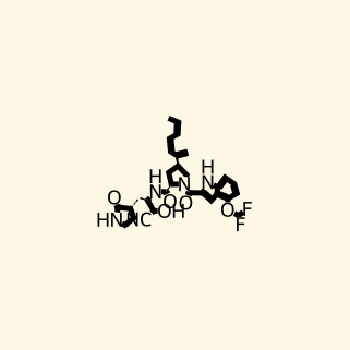 C=C(/C=C\C=C/C)[C@@H]1C[C@@H](C(=O)N[C@@H](C[C@@H]2CCNC2=O)C(O)C#N)N(C(=O)c2cc3c(OC(F)F)cccc3[nH]2)C1